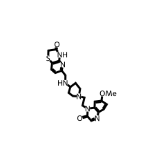 COc1ccc2ncc(=O)n(CCN3CCC(NCc4ccc5c(n4)NC(=O)CS5)CC3)c2c1